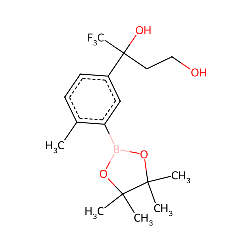 Cc1ccc(C(O)(CCO)C(F)(F)F)cc1B1OC(C)(C)C(C)(C)O1